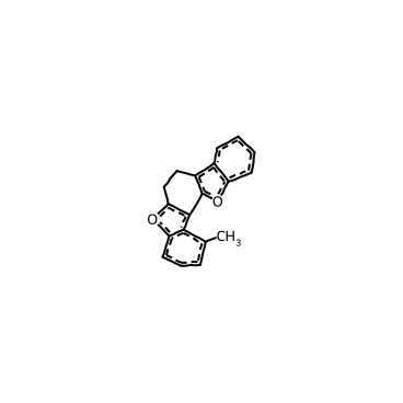 Cc1cccc2oc3c(c12)-c1oc2ccccc2c1CC3